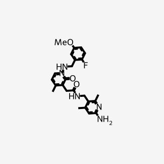 COc1ccc(F)c(CNn2ccc(C)c(CC(=O)NCc3c(C)cc(N)nc3C)c2=O)c1